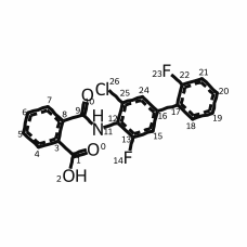 O=C(O)c1ccccc1C(=O)Nc1c(F)cc(-c2ccccc2F)cc1Cl